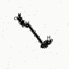 CC1(C)[C@H](NC(=O)c2ccc(OCCOCCOCCOCCOCCOCCNc3cccc4nnn(C5CCC(=O)NC5=O)c(=O)c34)cc2)C(C)(C)[C@H]1Oc1ccc(C#N)c(Cl)c1